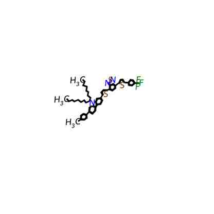 CCCCCCCCC(CCCCCCCC)n1c2cc(-c3ccc(C)cc3)ccc2c2ccc(-c3ccc(-c4ccc(-c5ccc(-c6ccc(C(F)(F)F)cc6)s5)c5nsnc45)s3)cc21